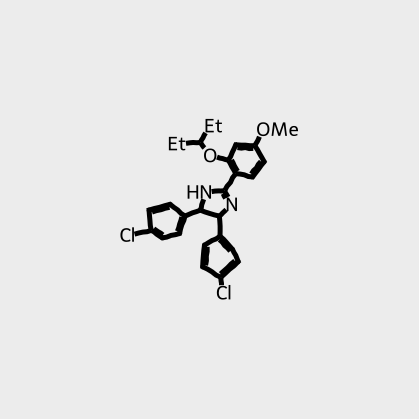 CCC(CC)Oc1cc(OC)ccc1C1=NC(c2ccc(Cl)cc2)C(c2ccc(Cl)cc2)N1